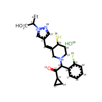 CCC(C(=O)O)n1cc(C=C2CN(C(C(=O)C3CC3)c3ccccc3F)CCC2S)cn1.Cl